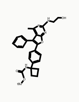 Cc1nc(NCCO)nc2oc(-c3ccc(C4(NC(=O)OC(C)(C)C)CCC4)cc3)c(-c3ccccc3)c12